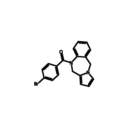 O=C(c1ccc(Br)cc1)N1Cc2cccn2Cc2ccccc21